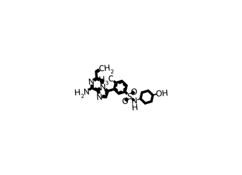 C=Cc1cn2c(-c3cc(S(=O)(=O)N[C@H]4CC[C@H](O)CC4)ccc3C)cnc2c(N)n1